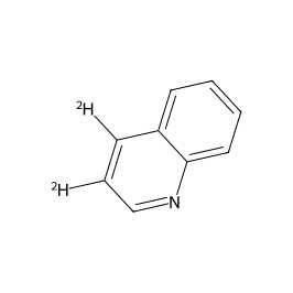 [2H]c1cnc2ccccc2c1[2H]